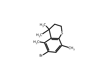 Cc1cc(Br)c(C)c2c1SCCC2(C)C